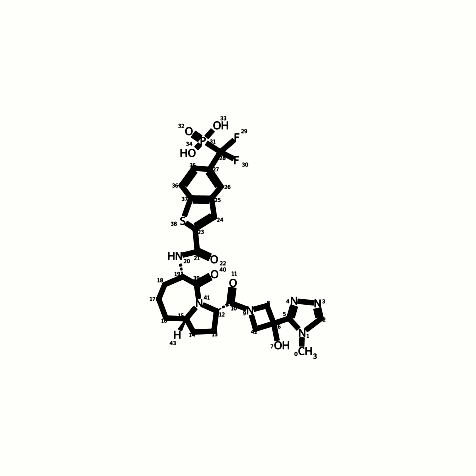 Cn1cnnc1C1(O)CN(C(=O)[C@@H]2CC[C@@H]3CCC[C@H](NC(=O)c4cc5cc(C(F)(F)P(=O)(O)O)ccc5s4)C(=O)N32)C1